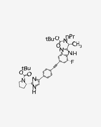 CCCN(C(=O)OC(C)(C)C)C(C)c1nc2cc(C#Cc3ccc(-c4c[nH]c([C@@H]5CCCN5C(=O)OC(C)(C)C)n4)cc3)cc(F)c2[nH]1